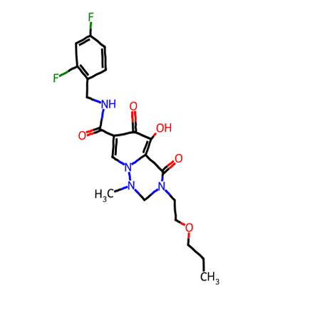 CCCOCCN1CN(C)n2cc(C(=O)NCc3ccc(F)cc3F)c(=O)c(O)c2C1=O